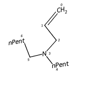 C=CCN(CCCCC)CCCCCC